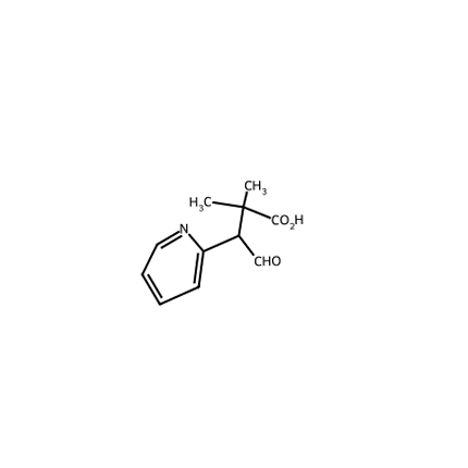 CC(C)(C(=O)O)C(C=O)c1ccccn1